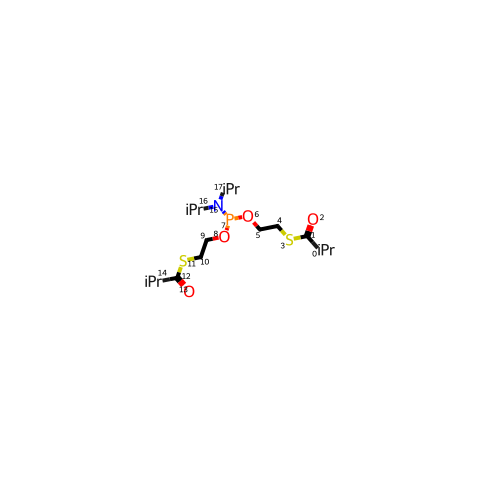 CC(C)C(=O)SCCOP(OCCSC(=O)C(C)C)N(C(C)C)C(C)C